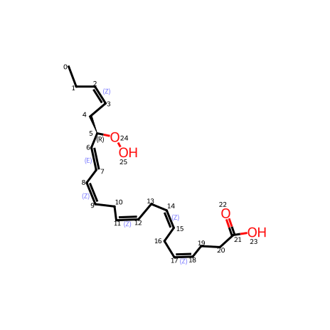 CC/C=C\C[C@H](/C=C/C=C\C/C=C\C/C=C\C/C=C\CCC(=O)O)OO